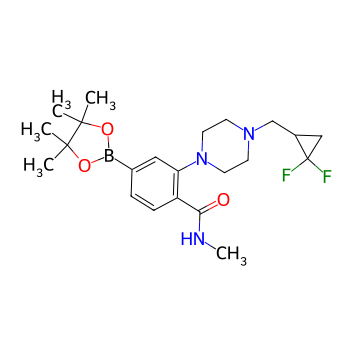 CNC(=O)c1ccc(B2OC(C)(C)C(C)(C)O2)cc1N1CCN(CC2CC2(F)F)CC1